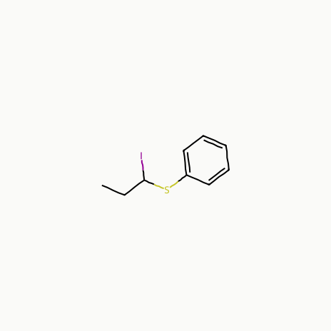 CCC(I)Sc1ccccc1